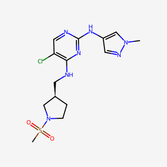 Cn1cc(Nc2ncc(Cl)c(NC[C@H]3CCN(S(C)(=O)=O)C3)n2)cn1